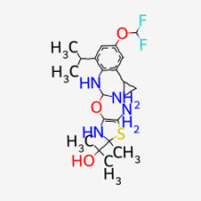 CC(C)c1cc(OC(F)F)cc(C2CC2)c1NC(N)OC1=C(N)SC(C)(C(C)(C)O)N1